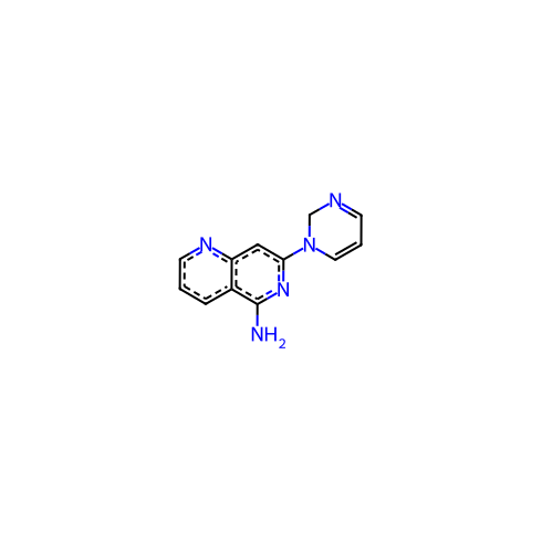 Nc1nc(N2C=CC=NC2)cc2ncccc12